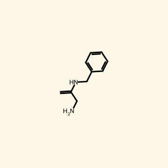 C=C(CN)NCc1ccccc1